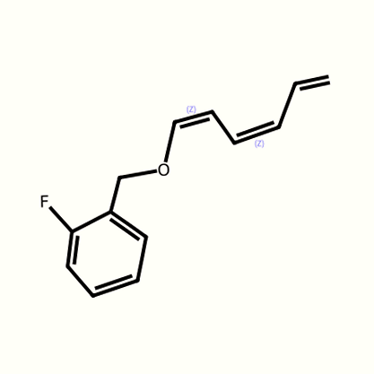 C=C/C=C\C=C/OCc1ccccc1F